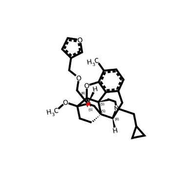 COC12CC[C@@]3(C[C@H]1COCc1ccoc1)[C@H]1Cc4ccc(C)c5c4[C@@]3(CCN1CC1CC1)[C@H]2O5